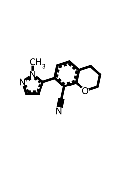 Cn1nccc1-c1ccc2c(c1C#N)OCCC2